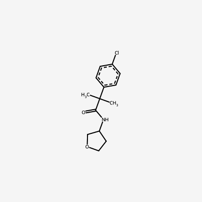 CC(C)(C(=O)NC1CCOC1)c1ccc(Cl)cc1